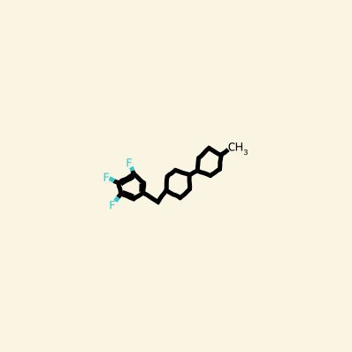 CC1CCC(C2CCC(Cc3cc(F)c(F)c(F)c3)CC2)CC1